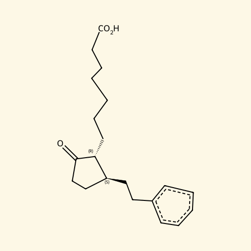 O=C(O)CCCCCC[C@H]1C(=O)CC[C@@H]1CCc1ccccc1